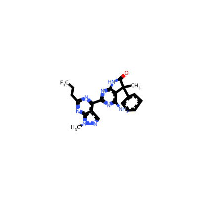 Cn1ncc2c(-c3nc(N)c4c(n3)NC(=O)C4(C)c3ccccc3)nc(CCC(F)(F)F)nc21